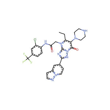 CCc1c(N2CCNCC2)c(=O)n2nc(-c3ccn4nccc4c3)nc2n1CC(=O)Nc1ccc(C(F)(F)F)cc1Cl